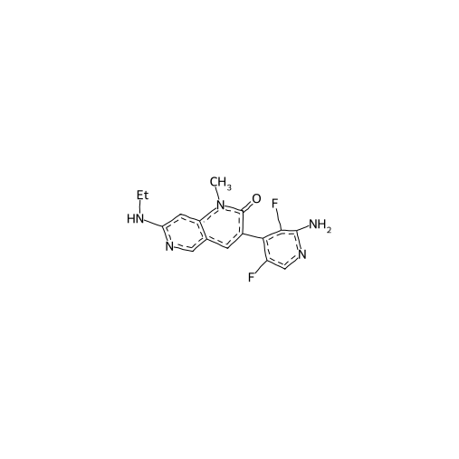 CCNc1cc2c(cn1)cc(-c1c(F)cnc(N)c1F)c(=O)n2C